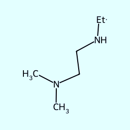 C[CH]NCCN(C)C